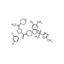 Cc1nnc(C(C)(C)[C@H]2CC3(CCN(C(=O)[C@@H]4C[C@H](N(C)C5CCOCC5)C[C@H]4c4ccc(F)cc4F)CC3)c3cc(Cl)c(C)cc32)o1